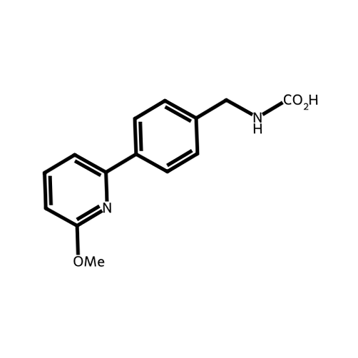 COc1cccc(-c2ccc(CNC(=O)O)cc2)n1